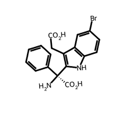 N[C@@](C(=O)O)(c1ccccc1)c1[nH]c2ccc(Br)cc2c1CC(=O)O